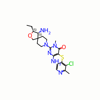 CC[C@@H]1OCC2(CCN(c3nc(N)c(Sc4ccnc(C)c4Cl)c(=O)n3C)CC2)[C@@H]1N